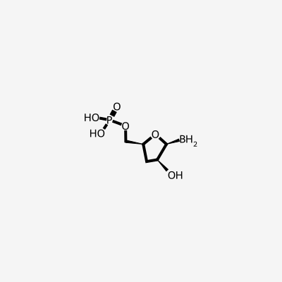 B[C@@H]1O[C@H](COP(=O)(O)O)C[C@@H]1O